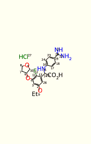 CCOc1cc(O[C@H]2CCOC2)c(F)c(C(Nc2ccc(C(=N)N)cc2)C(=O)O)c1.Cl